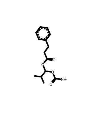 CC(C)C(OC([NH])=O)OC(=O)CCc1ccccc1